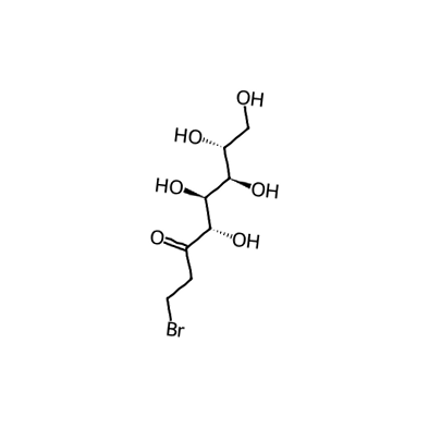 O=C(CCBr)[C@@H](O)[C@@H](O)[C@H](O)[C@H](O)CO